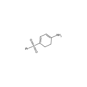 CC(C)S(=O)(=O)C1=CC=C(N)CC1